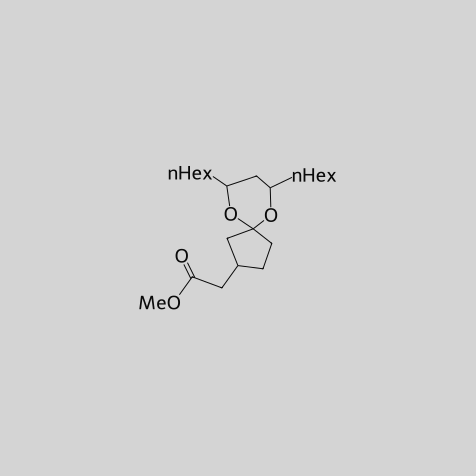 CCCCCCC1CC(CCCCCC)OC2(CCC(CC(=O)OC)C2)O1